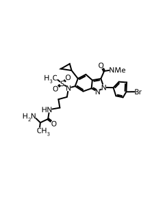 CNC(=O)c1c2cc(C3CC3)c(N(CCCNC(=O)C(C)N)S(C)(=O)=O)cc2nn1-c1ccc(Br)cc1